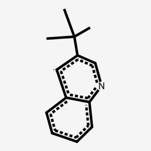 CC(C)(C)c1[c]c2ccccc2nc1